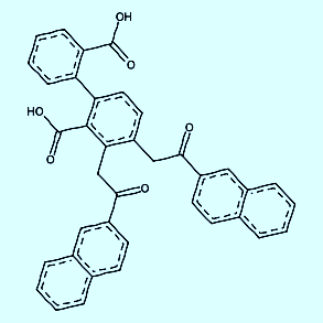 O=C(Cc1ccc(-c2ccccc2C(=O)O)c(C(=O)O)c1CC(=O)c1ccc2ccccc2c1)c1ccc2ccccc2c1